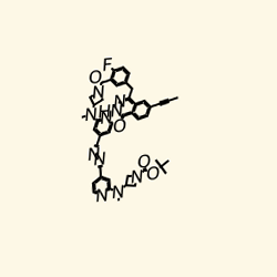 CC#Cc1ccc2c(=O)[nH]nc(Cc3ccc(F)c(C(=O)N4CC(N(C)c5cc(C#N)ccn5)C4)c3)c2c1.CN(c1cc(C#N)ccn1)C1CN(C(=O)OC(C)(C)C)C1